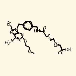 COCCOc1nc(N)c2nc(Br)n(Cc3ccc(CNC(=O)COCCOCC(=O)O)cc3)c2n1